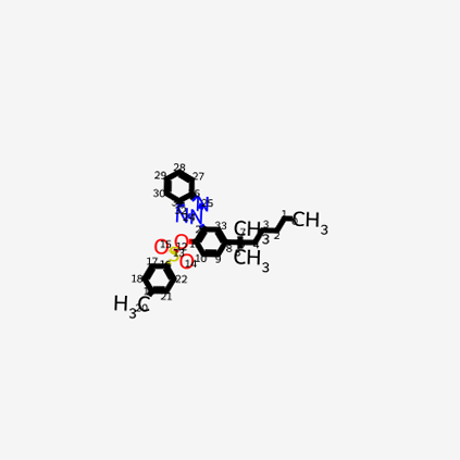 CCCCCC(C)(C)c1ccc(OS(=O)(=O)c2ccc(C)cc2)c(-n2nc3ccccc3n2)c1